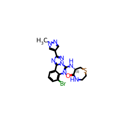 Cn1cc(-c2nc3c4cccc(Br)c4nc(N[C@@H]4CSCCNC4=O)n3n2)cn1